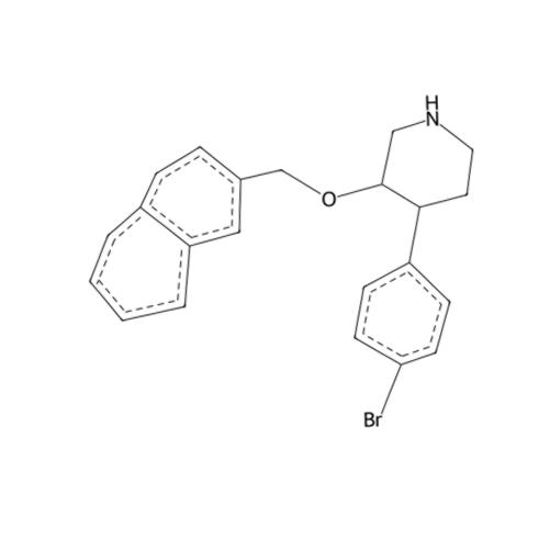 Brc1ccc(C2CCNCC2OCc2ccc3ccccc3c2)cc1